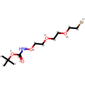 CC(C)(C)OC(=O)NOCCOCCOCCBr